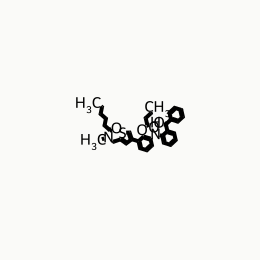 CCCCCC(=O)N(C)Cc1cc(-c2cccc(Nc3ccccc3C(=O)c3ccccc3)c2OC(=O)CCC)cs1